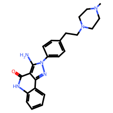 CN1CCN(CCc2ccc(-n3nc4c(c3N)c(=O)[nH]c3ccccc34)cc2)CC1